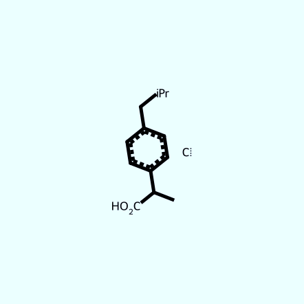 CC(C)Cc1ccc(C(C)C(=O)O)cc1.[C]